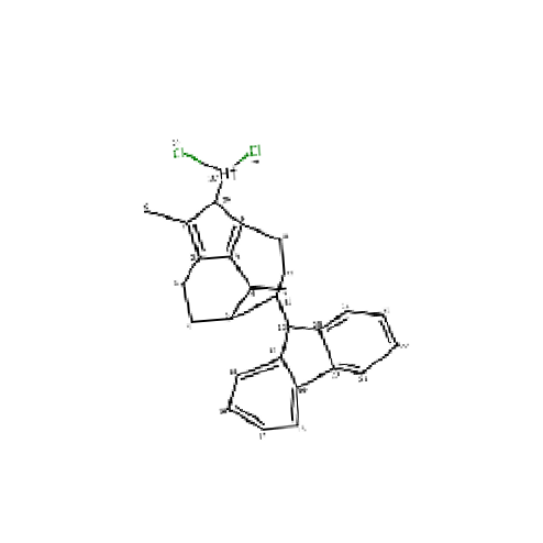 CC1=C2CCC3C(C)C2=C(CCC3C2c3ccccc3-c3ccccc32)[CH]1[Hf]([Cl])[Cl]